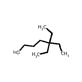 CCC(CC)(CC)CCCO